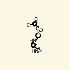 O=C(OCc1cc(Cl)cc(Cl)c1)N1CCC(CNc2cccc(-c3cnc[nH]3)c2)CC1